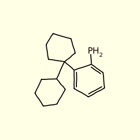 Pc1ccccc1C1(C2CCCCC2)CCCCC1